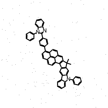 CC1(C)c2cc3c(cc2-c2c1cc1ccc4c(-c5ccc(-c6nc7ccccc7n6-c6ccccc6)cc5)ccc5ccc2c1c54)c1ccccc1n3-c1ccccc1